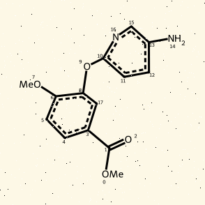 COC(=O)c1ccc(OC)c(Oc2ccc(N)cn2)c1